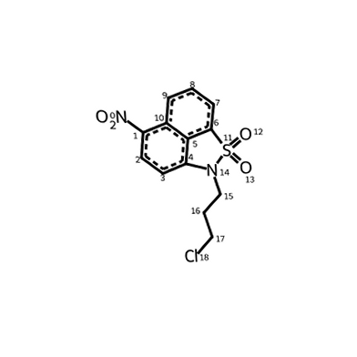 O=[N+]([O-])c1ccc2c3c(cccc13)S(=O)(=O)N2CCCCl